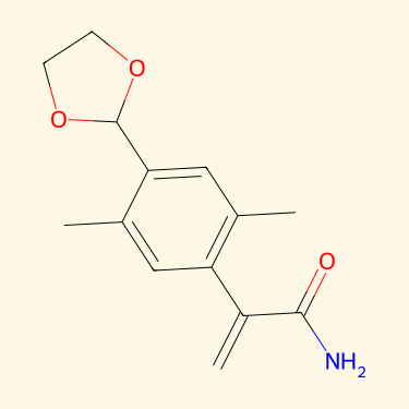 C=C(C(N)=O)c1cc(C)c(C2OCCO2)cc1C